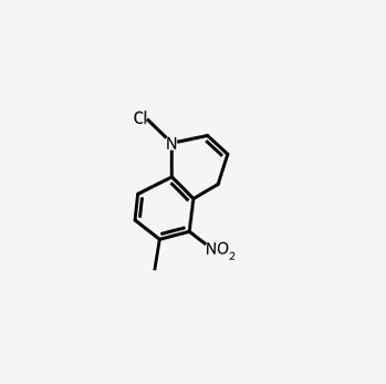 Cc1ccc2c(c1[N+](=O)[O-])CC=CN2Cl